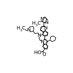 CCN1CCCC(CCN2CCn3c(c(C4CCCCC4)c4ccc(C(=O)O)cc43)-c3ccc4nc(-c5nccnc5C)ccc4c32)C1